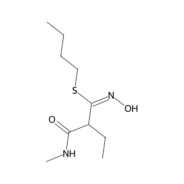 CCCCSC(=NO)C(CC)C(=O)NC